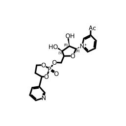 CC(=O)c1ccc[n+]([C@@H]2OC(COP3(=O)OCCC(c4cccnc4)O3)[C@@H](O)[C@H]2O)c1